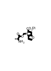 CCOC(=O)c1cc2occc2n1COC(=O)[C@H](C)N